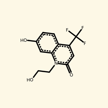 O=c1cc(C(F)(F)F)c2ccc(O)cc2n1CCO